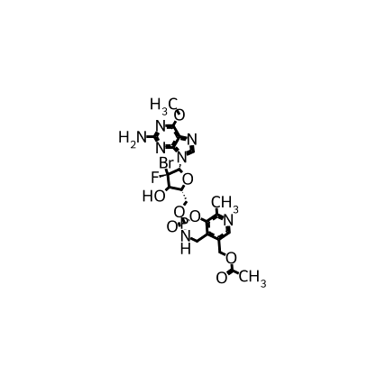 COc1nc(N)nc2c1ncn2[C@@H]1O[C@H](COP2(=O)NCc3c(COC(C)=O)cnc(C)c3O2)C(O)[C@]1(F)Br